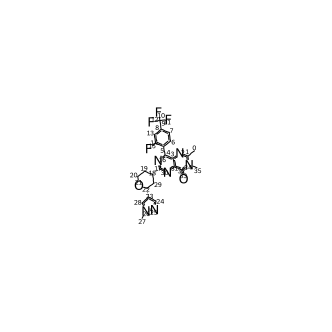 Cc1nc2c(-c3ccc(C(F)(F)F)cc3F)nc([C@H]3CCO[C@@H](c4cnn(C)c4)C3)nc2c(=O)n1C